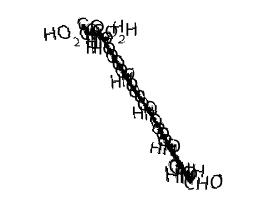 CC(C=O)NC(=O)CNC(=O)CCCCCNC(=O)CCOCCOCCOCCOCCNC(=O)CCOCCOCCOCCOCCNC(=O)CCOCCOCCOCCOCCNC(=O)CCC(NC(=O)NC(CCC(=O)O)C(=O)O)C(=O)O